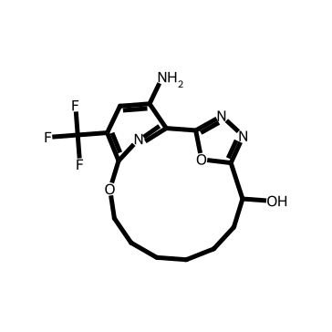 Nc1cc(C(F)(F)F)c2nc1-c1nnc(o1)C(O)CCCCCCO2